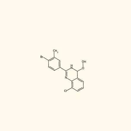 Cc1cc(C2=Nc3c(Cl)cccc3C(OO)N2)ccc1Br